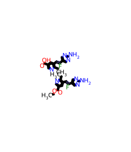 CCOC(=O)c1cnc(CC)c(/C=C(\F)c2cnc(N)nc2)c1.CCc1ncc(C(=O)O)cc1/C=C(\F)c1cnc(N)nc1